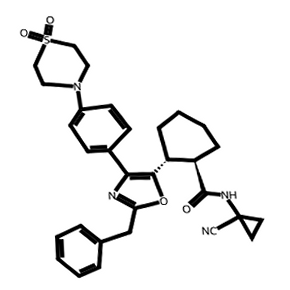 N#CC1(NC(=O)[C@@H]2CCCC[C@H]2c2oc(Cc3ccccc3)nc2-c2ccc(N3CCS(=O)(=O)CC3)cc2)CC1